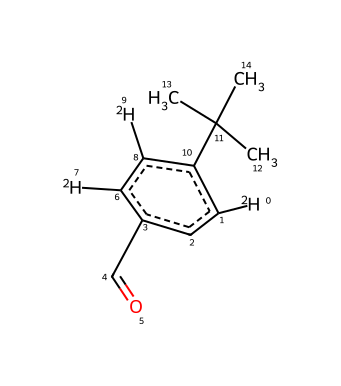 [2H]c1cc(C=O)c([2H])c([2H])c1C(C)(C)C